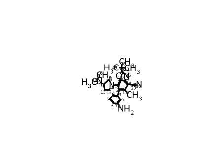 Cc1c(-c2cccc(N)c2)c(N2CC[C@H](N(C)C)C2)c2oc(C(C)(C)C)nc2c1C#N